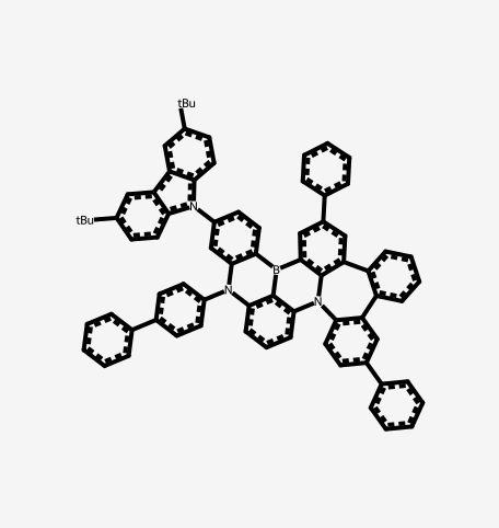 CC(C)(C)c1ccc2c(c1)c1cc(C(C)(C)C)ccc1n2-c1ccc2c(c1)N(c1ccc(-c3ccccc3)cc1)c1cccc3c1B2c1cc(-c2ccccc2)cc2c1N3c1ccc(-c3ccccc3)cc1-c1ccccc1-2